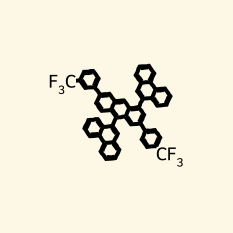 FC(F)(F)c1ccc(-c2cc(-c3cc4ccccc4c4ccccc34)c3cc4cc(-c5cccc(C(F)(F)F)c5)ccc4c(-c4cc5ccccc5c5ccccc45)c3c2)cc1